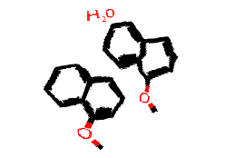 COc1cccc2ccccc12.COc1cccc2ccccc12.O